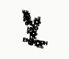 CCC(=O)N[C@H](Cc1ccc(NC(=O)C(/C=N/C(=O)C(F)(F)c2nc(C)cs2)[C@H]2CC[C@H](C)CC2)c(F)c1)C(=O)N1CCC(C)(O)CC1